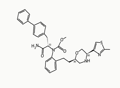 COC(=O)N(c1ccccc1CC[C@@H]1CN[C@H](c2csc(C)n2)CO1)[C@@H](Cc1ccc(-c2ccccc2)cc1)C(N)=O